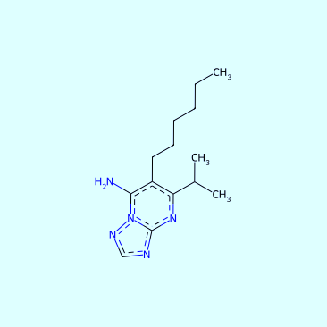 CCCCCCc1c(C(C)C)nc2ncnn2c1N